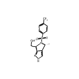 C[C@@H]1c2c[nH]nc2C(CO)N1S(=O)(=O)c1ccc(C(F)(F)F)cc1